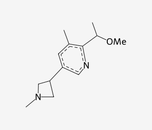 COC(C)c1ncc(C2CN(C)C2)cc1C